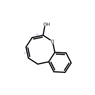 O/C1=C/C=C\Cc2ccccc2O1